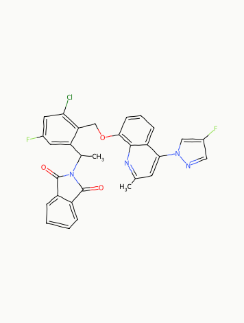 Cc1cc(-n2cc(F)cn2)c2cccc(OCc3c(Cl)cc(F)cc3C(C)N3C(=O)c4ccccc4C3=O)c2n1